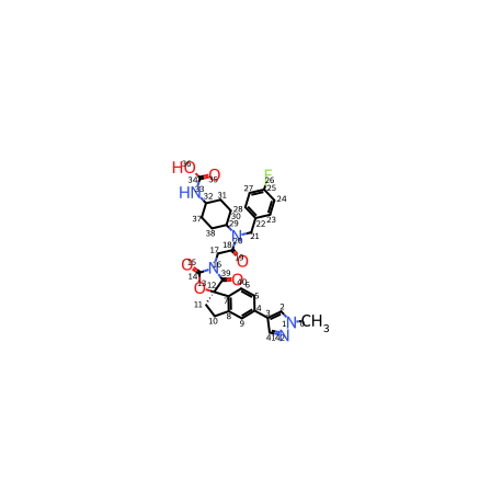 Cn1cc(-c2ccc3c(c2)CC[C@@]32OC(=O)N(CC(=O)N(Cc3ccc(F)cc3)C3CCC(NC(=O)O)CC3)C2=O)cn1